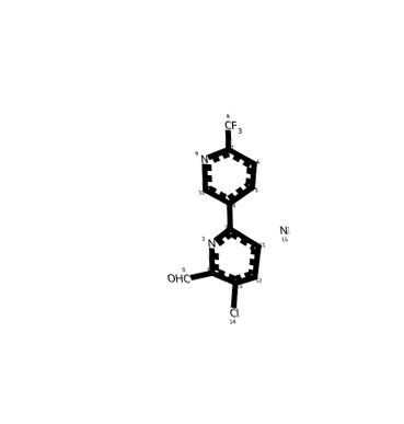 O=Cc1nc(-c2ccc(C(F)(F)F)nc2)ccc1Cl.[N]